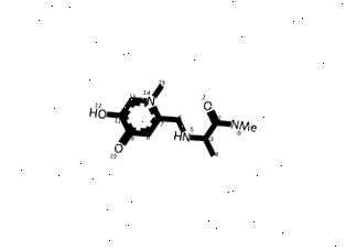 CNC(=O)C(C)NCc1cc(=O)c(O)cn1C